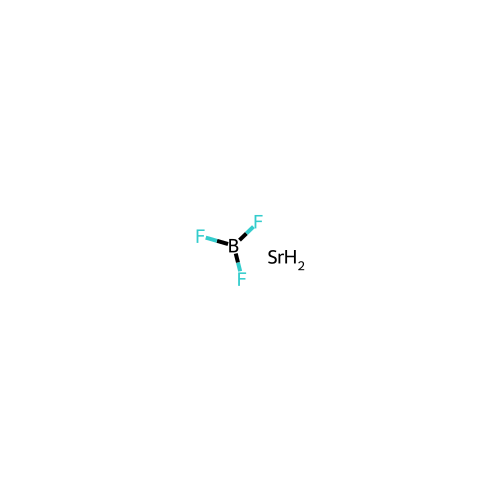 FB(F)F.[SrH2]